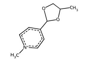 CC1COC(c2cc[n+](C)cc2)O1